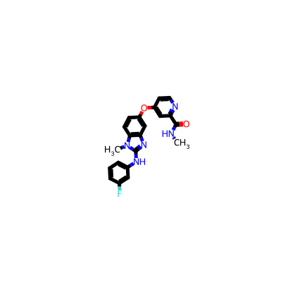 CNC(=O)c1cc(Oc2ccc3c(c2)nc(Nc2cccc(F)c2)n3C)ccn1